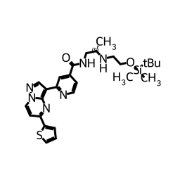 C[C@@H](CNC(=O)c1ccnc(-c2cnn3ccc(-c4cccs4)nc23)c1)NCCO[Si](C)(C)C(C)(C)C